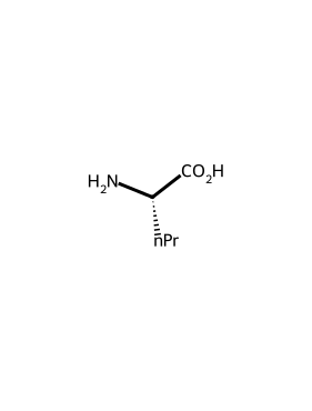 [CH2]CC[C@H](N)C(=O)O